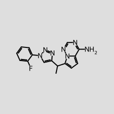 CC(c1cn(-c2ccccc2F)nn1)c1ccc2c(N)ncnn12